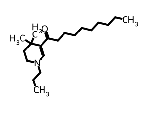 CCCCCCCCCC(=O)C1=CN(CCC)CCC1(C)C